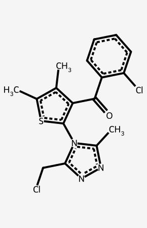 Cc1sc(-n2c(C)nnc2CCl)c(C(=O)c2ccccc2Cl)c1C